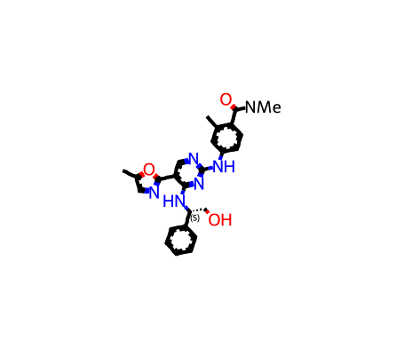 CNC(=O)c1ccc(Nc2ncc(-c3ncc(C)o3)c(N[C@H](CO)c3ccccc3)n2)cc1C